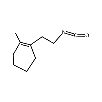 CC1=C(CCN=C=O)CCCC1